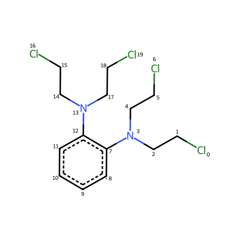 ClCCN(CCCl)c1[c]cccc1N(CCCl)CCCl